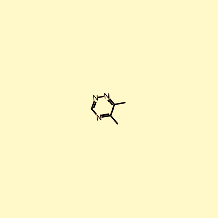 Cc1ncnnc1C